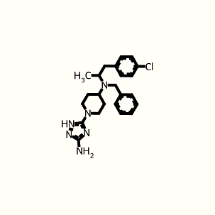 CC(Cc1ccc(Cl)cc1)N(Cc1ccccc1)C1CCN(c2nc(N)n[nH]2)CC1